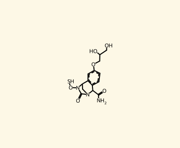 NC(=O)C1c2ccc(OCC(O)CO)cc2C2CN1C(=O)N2OS